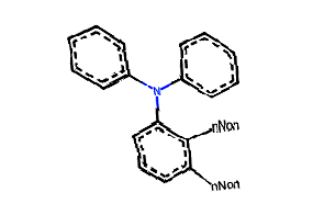 CCCCCCCCCc1cccc(N(c2ccccc2)c2ccccc2)c1CCCCCCCCC